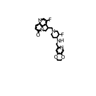 O=c1ccc2ncc(F)c3c2n1CC3CN1CC[C@H](NCc2cc3c(cn2)OCCO3)[C@H](F)C1